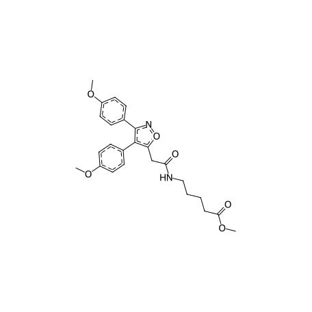 COC(=O)CCCCNC(=O)Cc1onc(-c2ccc(OC)cc2)c1-c1ccc(OC)cc1